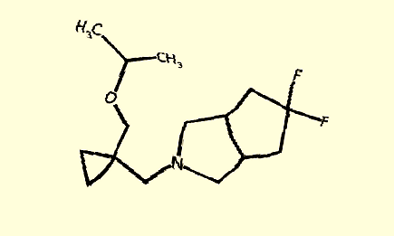 CC(C)OCC1(CN2CC3CC(F)(F)CC3C2)CC1